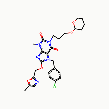 Cc1cnc(COc2nc3c(c(=O)n(CCCOC4CCCCO4)c(=O)n3C)n2Cc2ccc(Cl)cc2)o1